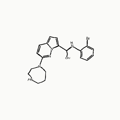 OC(Nc1ccccc1Br)c1ccc2ccc(N3CCCNCC3)nn12